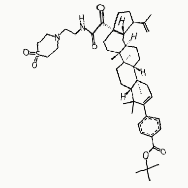 C=C(C)[C@@H]1CC[C@]2(C(=O)C(=O)NCCN3CCS(=O)(=O)CC3)CC[C@]3(C)[C@H](CC[C@@H]4[C@@]5(C)CC=C(c6ccc(C(=O)OC(C)(C)C)cc6)C(C)(C)[C@@H]5CC[C@]43C)[C@@H]12